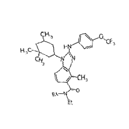 CCN(CC)C(=O)c1ccc2c(nc(Nc3ccc(OC(F)(F)F)cc3)n2C2CC(C)CC(C)(C)C2)c1C